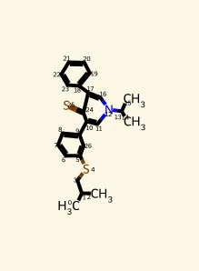 CC(C)CSc1cccc(-c2cn(C(C)C)cc(-c3ccccc3)c2=S)c1